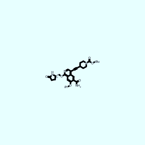 CC(C)Oc1cc2c(OC[C@@H]3CCC(=O)N3)ncc(C#CC3CCN(C(=O)OC(C)(C)C)CC3)c2cc1C(N)=O